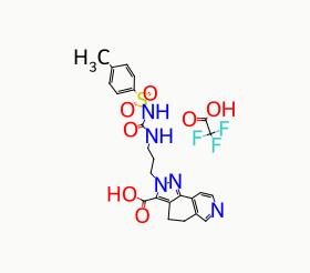 Cc1ccc(S(=O)(=O)NC(=O)NCCCn2nc3c(c2C(=O)O)CCc2cnccc2-3)cc1.O=C(O)C(F)(F)F